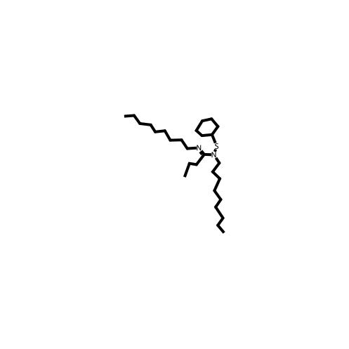 CCCCCCCCCN=C(CCC)N(CCCCCCCCC)SC1CCCCC1